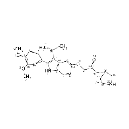 COc1ccc(-c2[nH]c3ccc(OCC(=O)C4CC5CC4CN5)cc3c2C(C)C)cc1OC